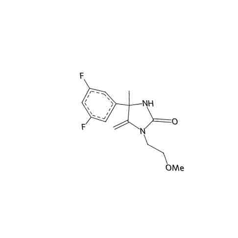 C=C1N(CCOC)C(=O)NC1(C)c1cc(F)cc(F)c1